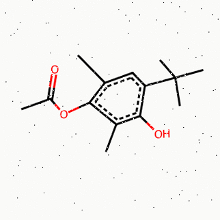 CC(=O)Oc1c(C)cc(C(C)(C)C)c(O)c1C